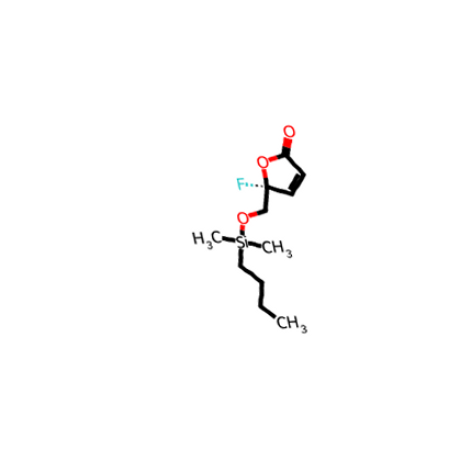 CCCC[Si](C)(C)OC[C@]1(F)C=CC(=O)O1